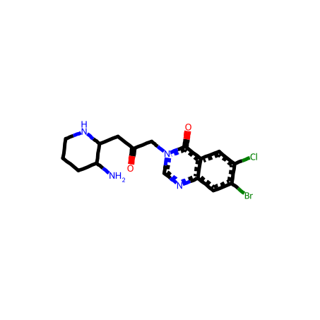 NC1CCCNC1CC(=O)Cn1cnc2cc(Br)c(Cl)cc2c1=O